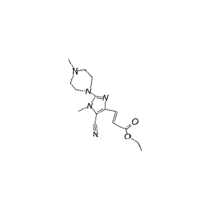 CCOC(=O)/C=C/c1nc(N2CCN(C)CC2)n(C)c1C#N